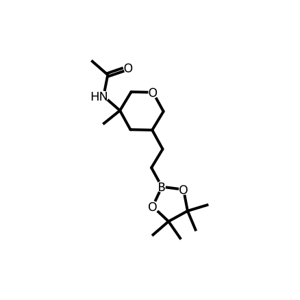 CC(=O)NC1(C)COCC(CCB2OC(C)(C)C(C)(C)O2)C1